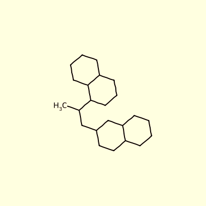 CC(CC1CCC2CCCCC2C1)C1CCCC2CCCCC21